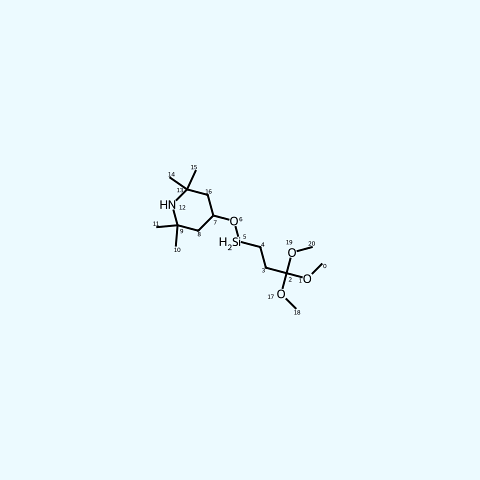 COC(CC[SiH2]OC1CC(C)(C)NC(C)(C)C1)(OC)OC